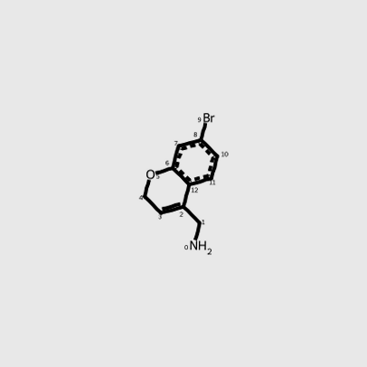 NCC1=CCOc2cc(Br)ccc21